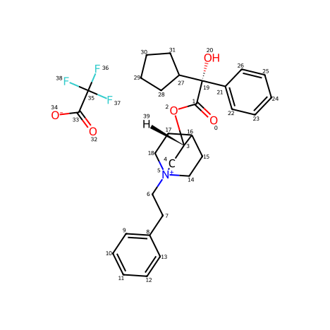 O=C(O[C@H]1C[N+]2(CCc3ccccc3)CCC1CC2)[C@](O)(c1ccccc1)C1CCCC1.O=C([O-])C(F)(F)F